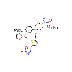 CCCCOC(=O)NC1CCC(C#Cc2ccc(N3CN=C(C)O3)s2)(c2ccc(OC)c(OC3CCCC3)c2)CC1